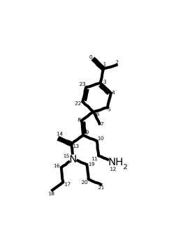 C=C(C)C1=CCC(C)(/C=C(\CCN)C(=C)N(CCC)CCC)C=C1